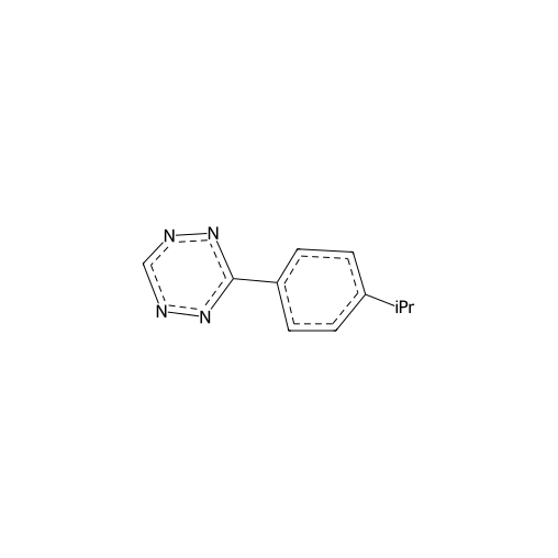 CC(C)c1ccc(-c2nncnn2)cc1